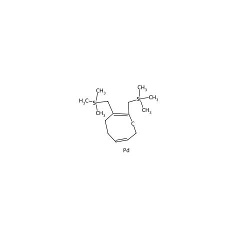 C[Si](C)(C)CC1=C(C[Si](C)(C)C)CCC=CCC1.[Pd]